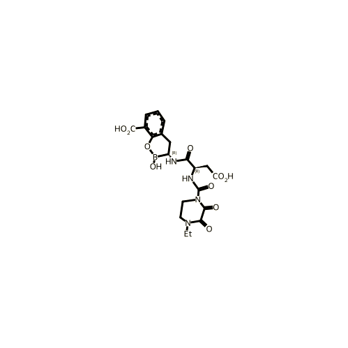 CCN1CCN(C(=O)N[C@H](CC(=O)O)C(=O)N[C@H]2Cc3cccc(C(=O)O)c3OB2O)C(=O)C1=O